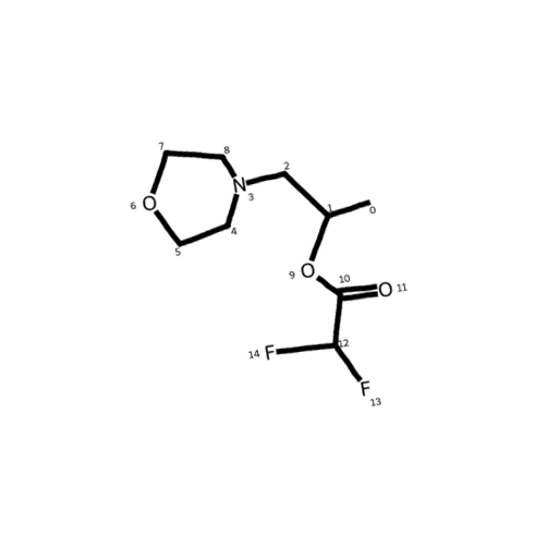 CC(CN1CCOCC1)OC(=O)C(F)F